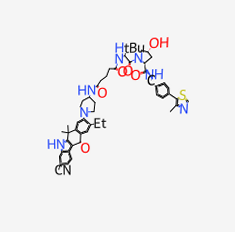 CCc1cc2c(cc1N1CCC(NC(=O)CCCC(=O)NC(C(=O)N3C[C@H](O)C[C@H]3C(=O)NCc3ccc(-c4scnc4C)cc3)C(C)(C)C)CC1)C(C)(C)c1[nH]c3cc(C#N)ccc3c1C2=O